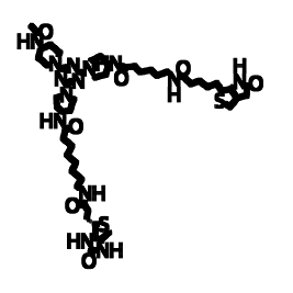 CC(=O)NC1CCN(c2nc(N3CCC(NC(=O)CCCCCCCNC(=O)CC[C@@H]4SCC5NC(=O)NC54)CC3)nc(N3CCC(NC(=O)CCCCCNC(=O)CCCCC4SCC5CC(=O)NC54)CC3)n2)CC1